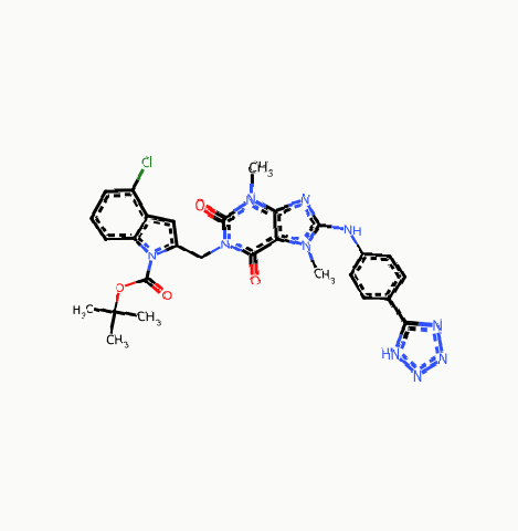 Cn1c(Nc2ccc(-c3nnn[nH]3)cc2)nc2c1c(=O)n(Cc1cc3c(Cl)cccc3n1C(=O)OC(C)(C)C)c(=O)n2C